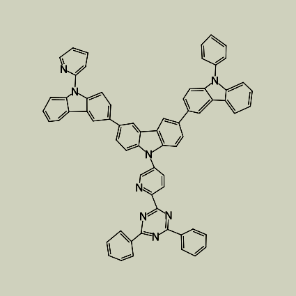 c1ccc(-c2nc(-c3ccccc3)nc(-c3ccc(-n4c5ccc(-c6ccc7c(c6)c6ccccc6n7-c6ccccc6)cc5c5cc(-c6ccc7c(c6)c6ccccc6n7-c6ccccn6)ccc54)cn3)n2)cc1